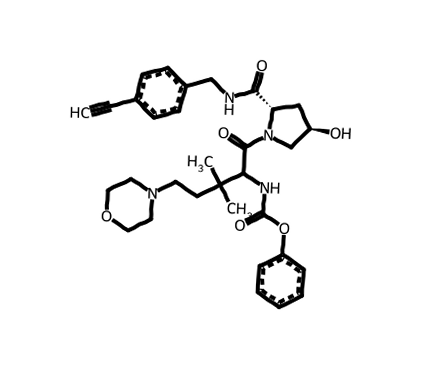 C#Cc1ccc(CNC(=O)[C@@H]2C[C@@H](O)CN2C(=O)C(NC(=O)Oc2ccccc2)C(C)(C)CCN2CCOCC2)cc1